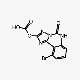 O=C(O)Oc1nc2c3c(Br)cccc3[nH]c(=O)n2n1